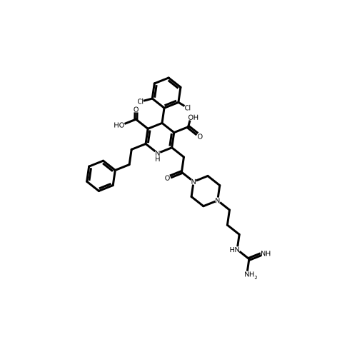 N=C(N)NCCCN1CCN(C(=O)CC2=C(C(=O)O)C(c3c(Cl)cccc3Cl)C(C(=O)O)=C(CCc3ccccc3)N2)CC1